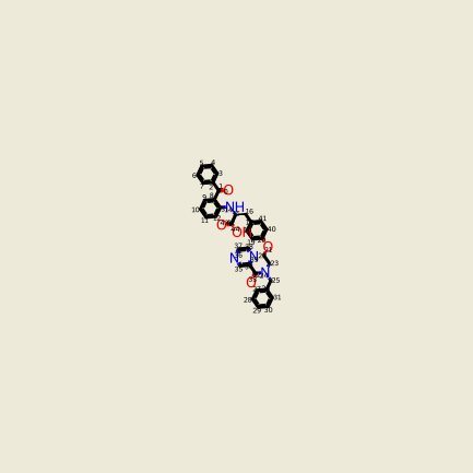 O=C(c1ccccc1)c1ccccc1N[C@@H](Cc1ccc(OCCN(Cc2ccccc2)C(=O)c2cnccn2)cc1)C(=O)O